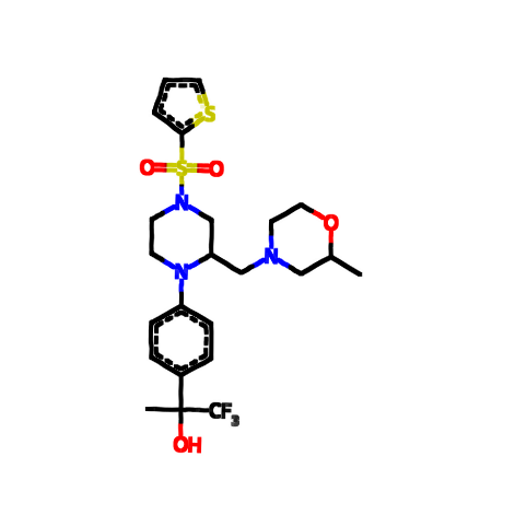 CC1CN(CC2CN(S(=O)(=O)c3cccs3)CCN2c2ccc(C(C)(O)C(F)(F)F)cc2)CCO1